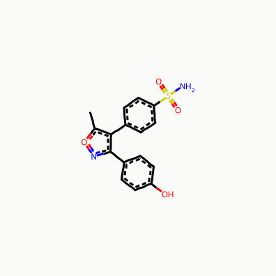 Cc1onc(-c2ccc(O)cc2)c1-c1ccc(S(N)(=O)=O)cc1